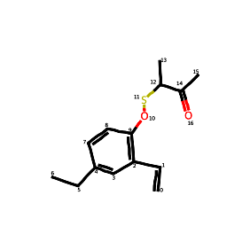 C=Cc1cc(CC)ccc1OSC(C)C(C)=O